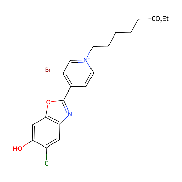 CCOC(=O)CCCCC[n+]1ccc(-c2nc3cc(Cl)c(O)cc3o2)cc1.[Br-]